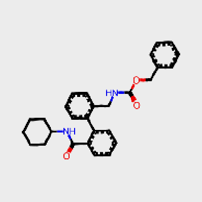 O=C(NCc1ccccc1-c1ccccc1C(=O)NC1CCCCC1)OCc1ccccc1